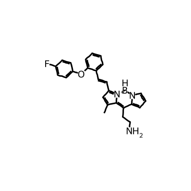 CC1=CC(/C=C/c2ccccc2Oc2ccc(F)cc2)=[N+]2Bn3cccc3C(CCN)=C12